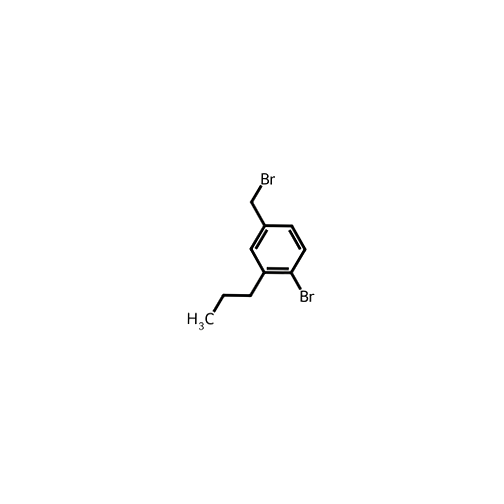 CCCc1cc(CBr)ccc1Br